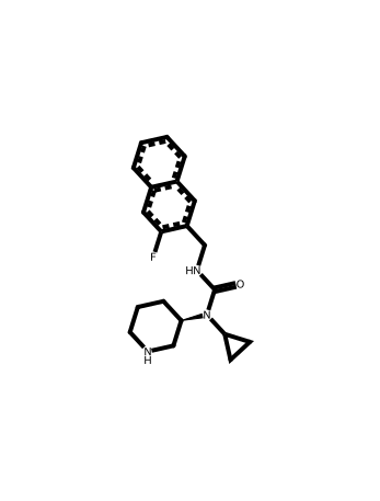 O=C(NCc1cc2ccccc2cc1F)N(C1CC1)[C@@H]1CCCNC1